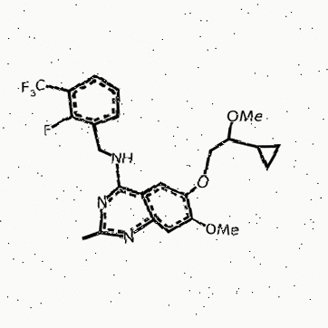 COc1cc2nc(C)nc(NCc3cccc(C(F)(F)F)c3F)c2cc1OCC(OC)C1CC1